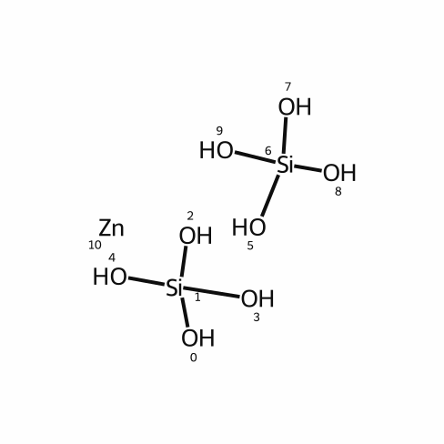 O[Si](O)(O)O.O[Si](O)(O)O.[Zn]